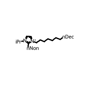 CCCCCCCCCCCCCCCCC[n+]1ccn(C(C)C)c1CCCCCCCCC